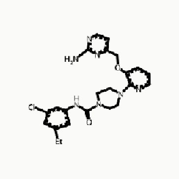 CCc1cc(Cl)cc(NC(=O)N2CCN(c3ncccc3OCc3ccnc(N)n3)CC2)c1